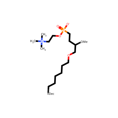 CCCCCCCCCCCCCCCCOCC(CCP(=O)([O-])OCC[N+](C)(C)C)OC